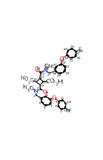 CN(Cc1cccc(Oc2ccc(F)cc2)c1)C(=O)C1C(C(=O)O)C(C(=O)N(C)Cc2cccc(Oc3ccc(F)cc3)c2)C1C(=O)O